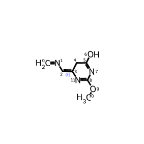 C=N/C=C1\CC(O)=NC(OC)=N1